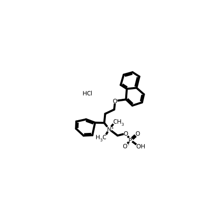 C[N+](C)(COP(=O)([O-])O)C(CCOc1cccc2ccccc12)c1ccccc1.Cl